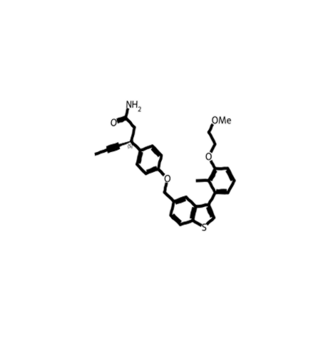 CC#C[C@@H](CC(N)=O)c1ccc(OCc2ccc3scc(-c4cccc(OCCOC)c4C)c3c2)cc1